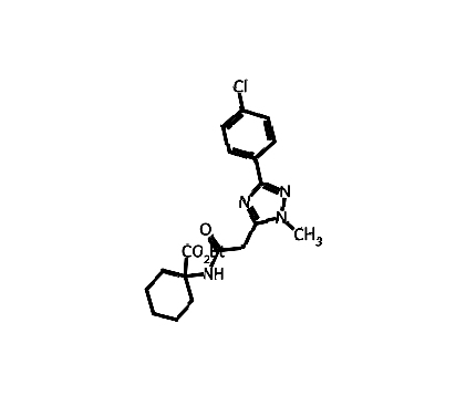 CCOC(=O)C1(NC(=O)Cc2nc(-c3ccc(Cl)cc3)nn2C)CCCCC1